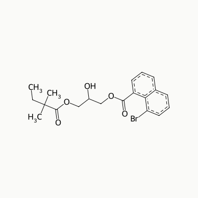 CCC(C)(C)C(=O)OCC(O)COC(=O)c1cccc2cccc(Br)c12